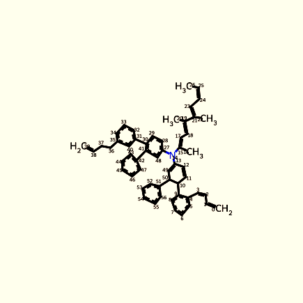 C=C/C=C\c1ccccc1C1C=CC(N(/C(C)=C/C=C(C)/C(C)=C/C=C\C)c2ccc(-c3cccc(CCC=C)c3)c(-c3ccccc3)c2)=CC1c1ccccc1